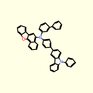 c1ccc(-c2cccc(N(c3ccc(-c4ccc5c(c4)c4ccccc4n5-c4ccccc4)cc3)c3cc4c5ccccc5oc4c4ccccc34)c2)cc1